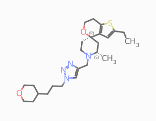 CCc1cc2c(s1)CCO[C@@]21CCN(Cc2cn(CCCC3CCOCC3)nn2)[C@@H](C)C1